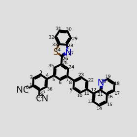 N#Cc1ccc(-c2cc(-c3ccc(-c4cccc5cccnc45)cc3)cc(-c3nc4ccccc4s3)c2)cc1C#N